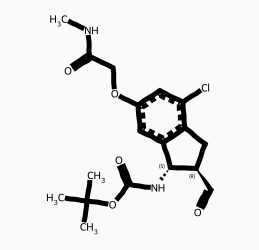 CNC(=O)COc1cc(Cl)c2c(c1)[C@@H](NC(=O)OC(C)(C)C)[C@H](C=O)C2